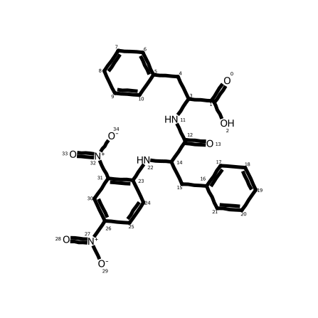 O=C(O)C(Cc1ccccc1)NC(=O)C(Cc1ccccc1)Nc1ccc([N+](=O)[O-])cc1[N+](=O)[O-]